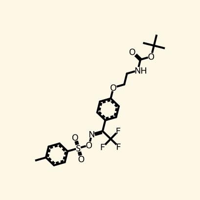 Cc1ccc(S(=O)(=O)O/N=C(/c2ccc(OCCNC(=O)OC(C)(C)C)cc2)C(F)(F)F)cc1